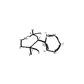 CC1(C)CCCC(C)(C)C1c1ccccn1